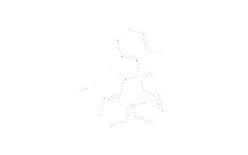 COc1cccc(OC)c1C(=O)P(=S)(c1ccccc1C)c1ccccc1C